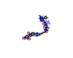 Cc1cc2ncc(NC(=O)Nc3cnc(-c4noc(CCCCCN5CCN(c6ccc7c(c6)CN(C6CCC(=O)NC6=O)C7=O)CC5)n4)c(C)c3)c(C3CCCC3)n2n1